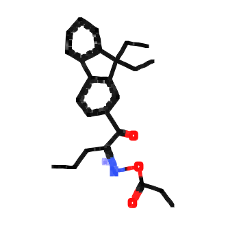 CCC/C(=N/OC(=O)CC)C(=O)c1ccc2c(c1)C(CC)(CC)c1ccccc1-2